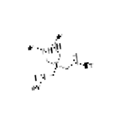 CC(C)N[CH2][Ti]([CH2]NC(C)C)([CH2]NC(C)C)[CH2]NC(C)C